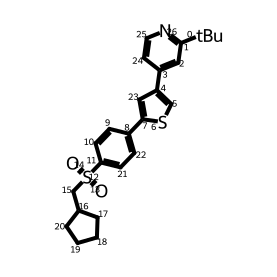 CC(C)(C)c1cc(-c2csc(-c3ccc(S(=O)(=O)CC4CCCC4)cc3)c2)ccn1